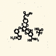 CC(C)OC(=O)CN1CCC(Oc2c(F)c(Oc3cccc(C4=NCCN4C)c3)nc(Oc3cc(C(=N)N)ccc3O)c2F)CC1.O=C(O)C(F)(F)F